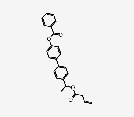 C=CCC(=O)OC(C)c1ccc(-c2ccc(OC(=O)c3ccccc3)cc2)cc1